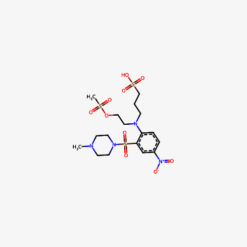 CN1CCN(S(=O)(=O)c2cc([N+](=O)[O-])ccc2N(CCCS(=O)(=O)O)CCOS(C)(=O)=O)CC1